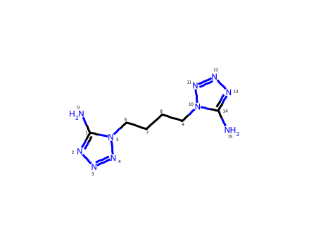 Nc1nnnn1CCCCn1nnnc1N